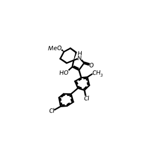 CO[C@H]1CC[C@@]2(CC1)NC(=O)C(c1cc(-c3ccc(Cl)cc3)c(Cl)cc1C)=C2O